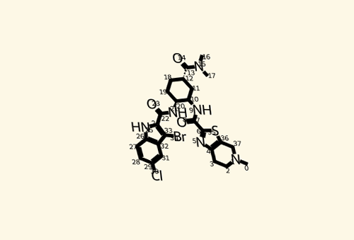 CN1CCc2nc(C(=O)NC3C[C@@H](C(=O)N(C)C)CC[C@@H]3NC(=O)c3[nH]c4ccc(Cl)cc4c3Br)sc2C1